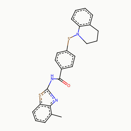 Cc1cccc2sc(NC(=O)c3ccc(SN4CCCc5ccccc54)cc3)nc12